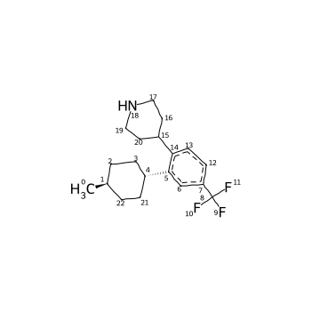 C[C@H]1CC[C@H](c2cc(C(F)(F)F)ccc2C2CCNCC2)CC1